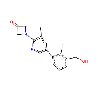 Cc1cc(-c2cccc(CO)c2F)cnc1N1CC(=O)C1